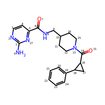 Nc1nccc(C(=O)NCC2CCN(C(=O)C3CC3c3ccccc3)CC2)n1